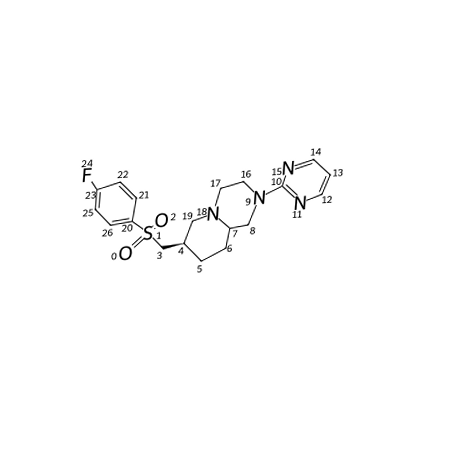 O=S(=O)(C[C@@H]1CCC2CN(c3ncccn3)CCN2C1)c1ccc(F)cc1